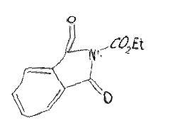 CCOC(=O)[N+]1C(=O)c2ccccc2C1=O